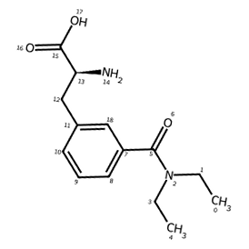 CCN(CC)C(=O)c1cccc(C[C@H](N)C(=O)O)c1